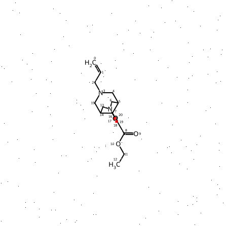 C=CCN1CC2CN(C(=O)OCC)CC(C1)C21OCCO1